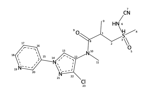 CC(C[SH](C)(=O)NC#N)C(=O)N(C)c1cn(-c2cccnc2)nc1Cl